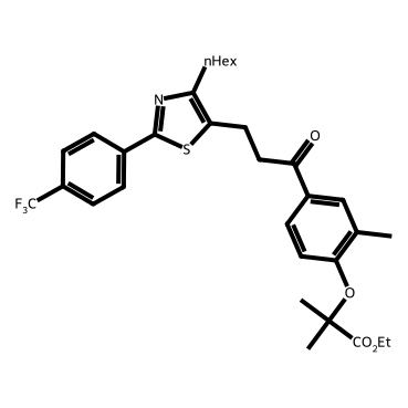 CCCCCCc1nc(-c2ccc(C(F)(F)F)cc2)sc1CCC(=O)c1ccc(OC(C)(C)C(=O)OCC)c(C)c1